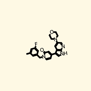 Cc1cc(F)cc(Cn2ccc(-c3c[nH]c4ncc(N5CCOCC5)cc34)cc2=O)c1